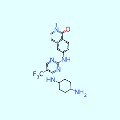 Cn1ccc2cc(Nc3ncc(C(F)(F)F)c(NC4CCC(N)CC4)n3)ccc2c1=O